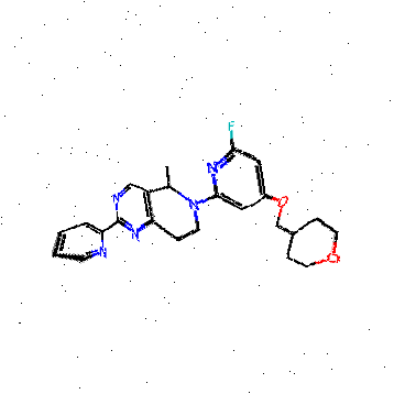 CC1c2cnc(-c3ccccn3)nc2CCN1c1cc(OCC2CCOCC2)cc(F)n1